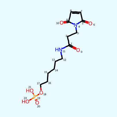 O=C(CCN1C(=O)C=CC1=O)NCCCCCCOP(=O)(O)O